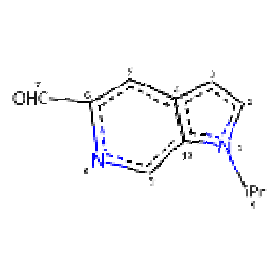 CC(C)n1ccc2cc(C=O)ncc21